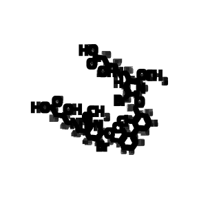 COc1nc(OCc2cccc(-c3cccc(COc4nc(OC)c(CNC[C@@H](O)CC(=O)O)cc4Br)c3Cl)c2Cl)c(Br)cc1CNC[C@@H](O)CC(=O)O